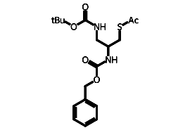 CC(=O)SCC(CNC(=O)OC(C)(C)C)NC(=O)OCc1ccccc1